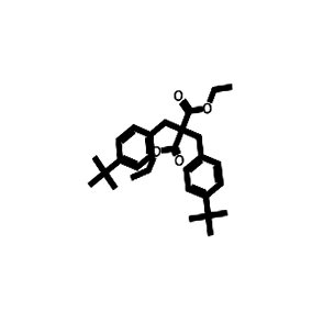 CCOC(=O)C(Cc1ccc(C(C)(C)C)cc1)(Cc1ccc(C(C)(C)C)cc1)C(=O)OCC